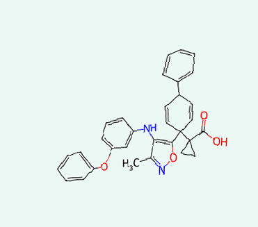 Cc1noc(C2(C3(C(=O)O)CC3)C=CC(c3ccccc3)C=C2)c1Nc1cccc(Oc2ccccc2)c1